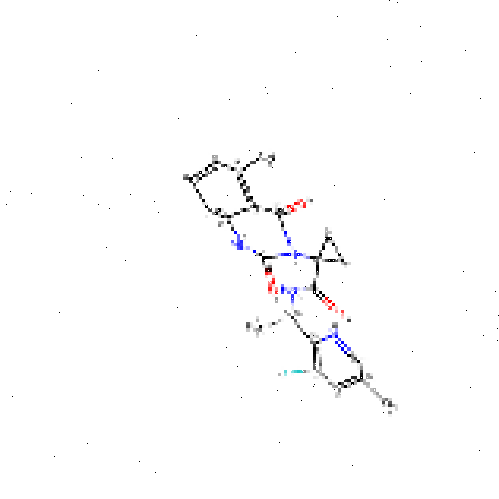 C[C@H](NC(=O)C1(n2c(=O)[nH]c3cccc(C#N)c3c2=O)CC1)c1ncc(C#N)cc1F